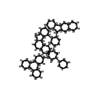 c1ccc(-c2nc(-c3ccc(-n4c5ccccc5c5cc6ccccc6cc54)c(-c4cccc5oc6ccc7ccccc7c6c45)c3)nc(-c3ccc4c5ccccc5c5ccccc5c4c3)n2)cc1